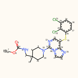 CC1(CNC(=O)OC(C)(C)C)CCN(c2ncc(Sc3cccc(Cl)c3Cl)c3nccn23)CC1